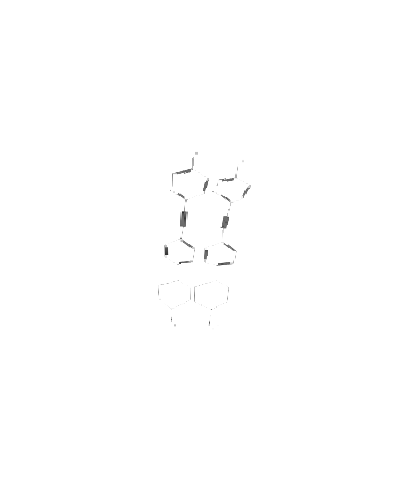 CCCCc1ccc(C#Cc2ccc([C@H]3CC[C@H](CCC)CC3)cc2)nc1.CCCc1ccc(C#Cc2ccc([C@H]3CC[C@H](CCC)CC3)cc2)nc1